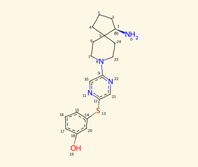 N[C@@H]1CCCC12CCN(c1cnc(Sc3cccc(O)c3)cn1)CC2